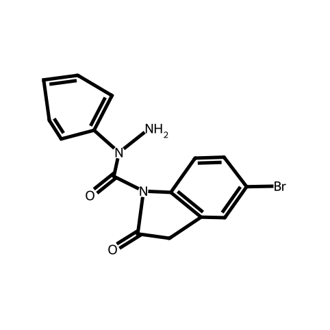 NN(C(=O)N1C(=O)Cc2cc(Br)ccc21)c1ccccc1